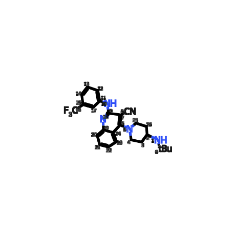 CC(C)(C)NC1CCN(c2c(C#N)c(Nc3cccc(C(F)(F)F)c3)nc3ccccc23)CC1